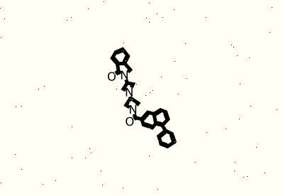 O=C(c1ccc2c(-c3ccccc3)cccc2c1)N1CC(N2CC(N3Cc4ccccc4C3=O)C2)C1